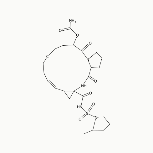 CC1CCCN1S(=O)(=O)NC(=O)C12CC1C=CCCCCCC(OC(N)=O)C(=O)N1CCCC1C(=O)N2